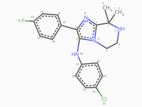 CC1(C)NCCn2c1nc(-c1ccc(F)cc1)c2Nc1ccc(Cl)cc1